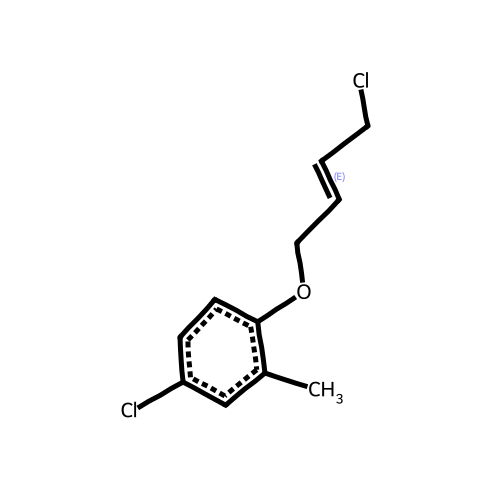 Cc1cc(Cl)ccc1OC/C=C/CCl